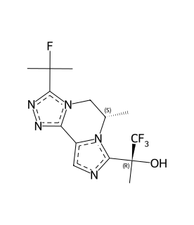 C[C@H]1Cn2c(nnc2C(C)(C)F)-c2cnc([C@@](C)(O)C(F)(F)F)n21